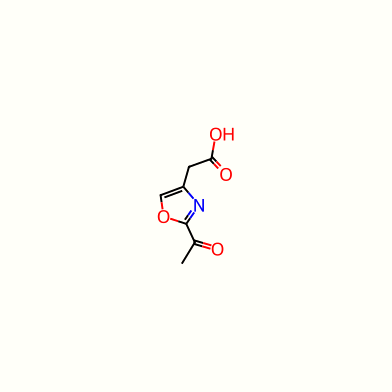 CC(=O)c1nc(CC(=O)O)co1